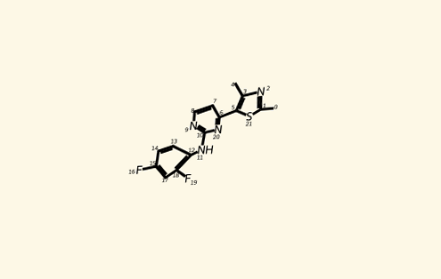 Cc1nc(C)c(-c2ccnc(Nc3ccc(F)cc3F)n2)s1